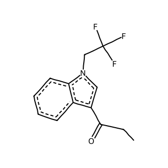 CCC(=O)c1cn(CC(F)(F)F)c2ccccc12